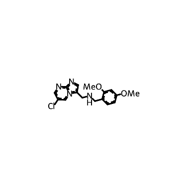 COc1ccc(CNCc2cnc3ncc(Cl)cn23)c(OC)c1